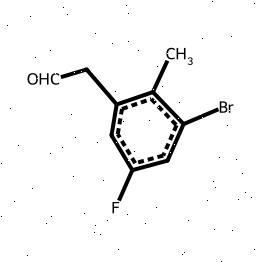 Cc1c(Br)cc(F)cc1CC=O